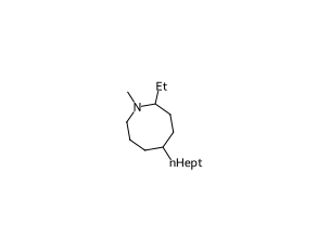 CCCCCCCC1CCCN(C)C(CC)CC1